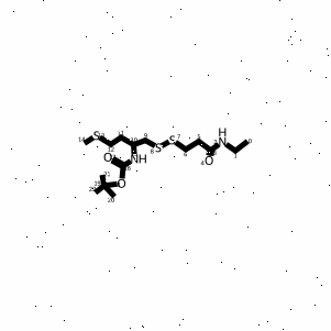 CCNC(=O)CCSSCC(CCSC)NC(=O)OC(C)(C)C